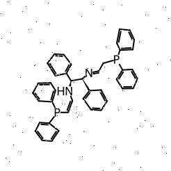 C(=C/P(c1ccccc1)c1ccccc1)/N[C@@H](c1ccccc1)[C@@H](/N=C/CP(c1ccccc1)c1ccccc1)c1ccccc1